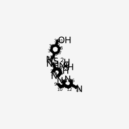 [2H]C([2H])([2H])Nc1cc(-n2ccc3cc(C#N)cnc32)ncc1-c1nnc(C2CCC(CO)CC2)s1